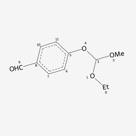 CCOC(OC)Oc1ccc(C=O)cc1